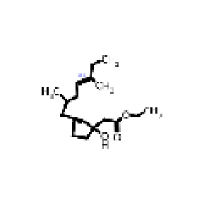 CCOC(=O)CC1(O)C=C(CC(C)C/C=C(\C)CC)CC1